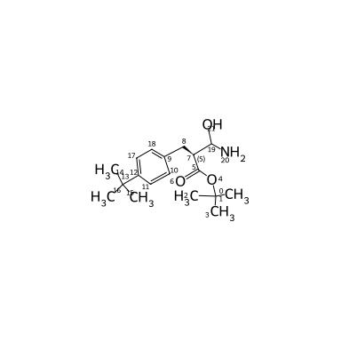 CC(C)(C)OC(=O)[C@@H](Cc1ccc(C(C)(C)C)cc1)C(N)O